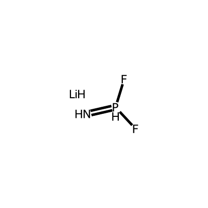 N=[PH](F)F.[LiH]